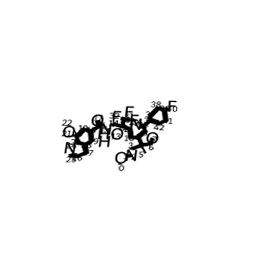 CO/N=C/[C@@]1(C)COc2c1cc(C(O)(CNC(=O)c1cc(OC)c3ncccc3c1)C(F)(F)F)nc2-c1ccc(F)cc1